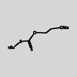 CCCCSC(=S)OCCOC